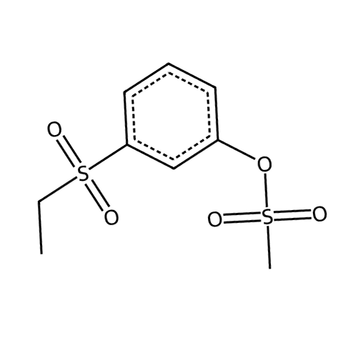 CCS(=O)(=O)c1cccc(OS(C)(=O)=O)c1